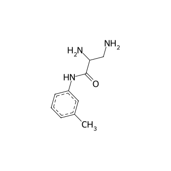 Cc1cccc(NC(=O)C(N)CN)c1